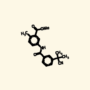 COC(=O)c1cc(NC(=O)c2cccc(C(C)(C)C#N)c2)ccc1C